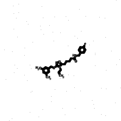 C=CCn1c(CCCCC(=O)NCc2ccc(F)cc2)nnc1SCc1cc(C)cc(C)c1